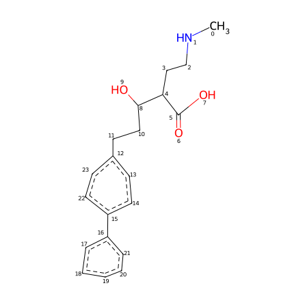 CNCCC(C(=O)O)C(O)CCc1ccc(-c2ccccc2)cc1